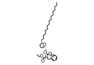 CCCCCCCCCCCCCCCCC[C@@H]1CC[C@@H](COC(=O)N(Cc2ccccn2)C(=O)OCC)O1